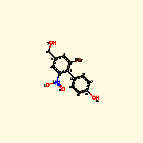 O=[N+]([O-])c1cc(CO)cc(Br)c1-c1ccc(O)cc1